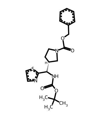 CC(C)(C)OC(=O)NC(c1nccs1)[C@@H]1CCN(C(=O)OCc2ccccc2)C1